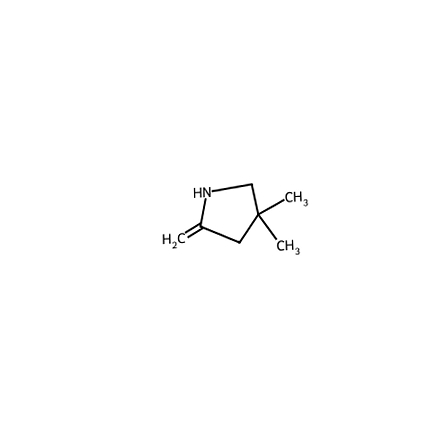 C=C1CC(C)(C)CN1